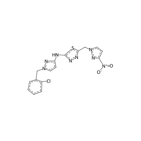 O=[N+]([O-])c1ccn(Cc2nnc(Nc3ccn(Cc4ccccc4Cl)n3)s2)n1